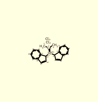 [CH3][Ge]([CH3])=[Hf+2]([CH]1C=Cc2ccccc21)[CH]1C=Cc2ccccc21.[Cl-].[Cl-]